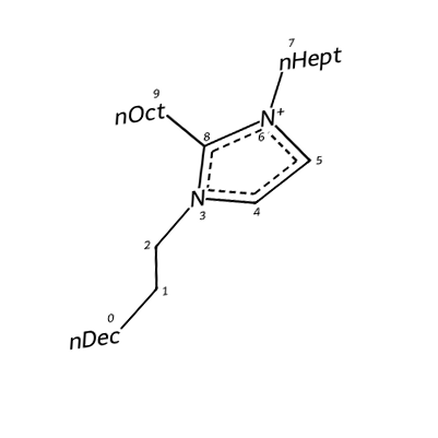 CCCCCCCCCCCCn1cc[n+](CCCCCCC)c1CCCCCCCC